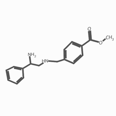 COC(=O)c1ccc(CNCC(N)c2ccccc2)cc1